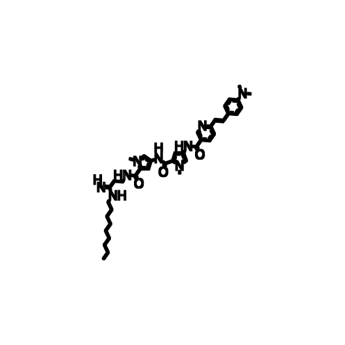 [H]/N=C(\CCNC(=O)c1cc(NC(=O)c2cc(NC(=O)c3ccc(C=Cc4ccc(N(C)C)cc4)nc3)cn2C)cn1C)NCCCCCCCCC